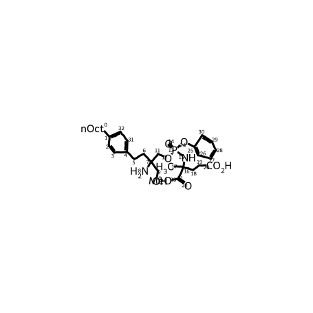 CCCCCCCCc1ccc(CCC(N)(CO)COP(=O)(NC(C)(CCC(=O)O)C(=O)OC)Oc2ccccc2)cc1